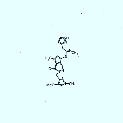 C/N=C(/Cc1cc[nH]n1)Sc1cn(C)c2c(=O)n(Cc3nn(C)cc3OC)ncc12